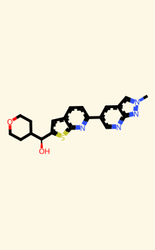 Cn1cc2cc(-c3ccc4cc([C@@H](O)C5CCOCC5)sc4n3)cnc2n1